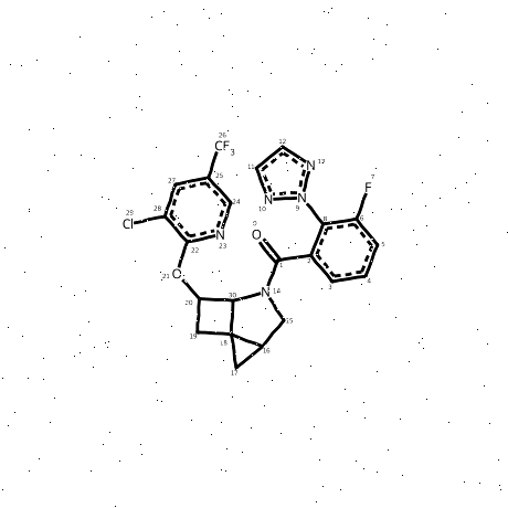 O=C(c1cccc(F)c1-n1nccn1)N1CC2CC23CC(Oc2ncc(C(F)(F)F)cc2Cl)C13